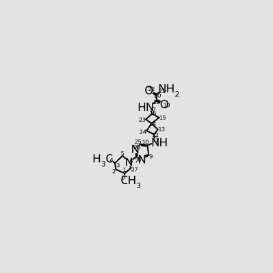 CC1CC(C)CN(c2ncc(NC3CC4(CC(NC(=O)C(N)=O)C4)C3)cn2)C1